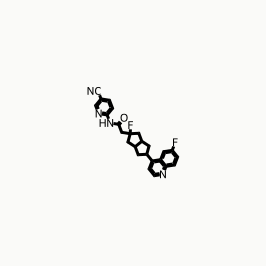 N#Cc1ccc(NC(=O)CC2(F)CC3CC(c4ccnc5ccc(F)cc45)CC3C2)nc1